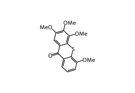 COc1cc2c(=O)c3cccc(OC)c3sc2c(OC)c1OC